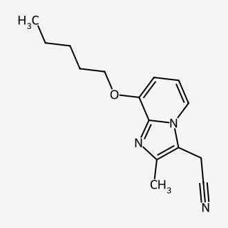 CCCCCOc1cccn2c(CC#N)c(C)nc12